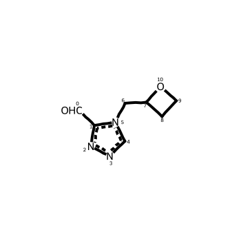 O=Cc1nncn1CC1CCO1